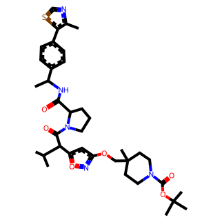 Cc1ncsc1-c1ccc(C(C)NC(=O)C2CCCN2C(=O)C(c2cc(OCC3(C)CCN(C(=O)OC(C)(C)C)CC3)no2)C(C)C)cc1